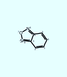 c1ccc2c(c1)=NO[Si]=2